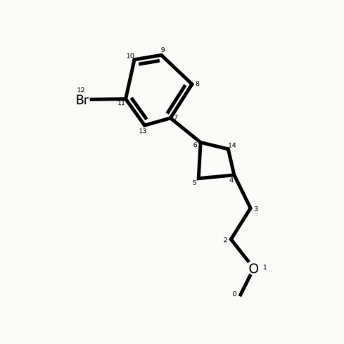 COCCC1CC(c2cccc(Br)c2)C1